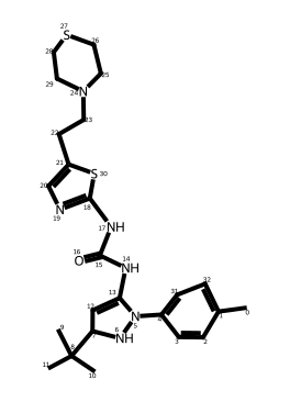 Cc1ccc(N2NC(C(C)(C)C)C=C2NC(=O)Nc2ncc(CCN3CCSCC3)s2)cc1